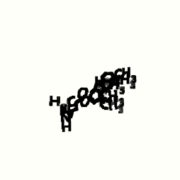 Cc1cc(OC(=O)C(C)Cc2c[nH]cn2)cc2c1[C@]1(C)CC[C@H]3C(C)(C)CCC[C@]3(C)[C@H]1C2